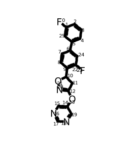 Fc1cccc(-c2ccc(C3CC(Oc4cncnc4)=NO3)c(F)c2)c1